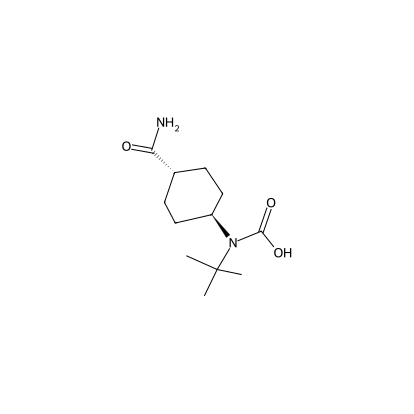 CC(C)(C)N(C(=O)O)[C@H]1CC[C@H](C(N)=O)CC1